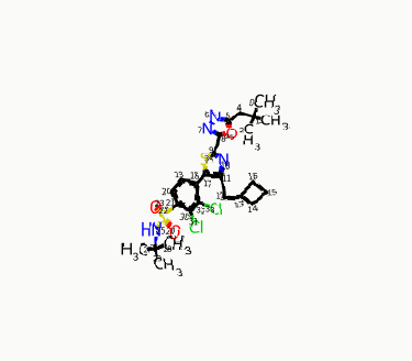 CC(C)(C)Cc1nnc(-c2nc(CC3CCC3)c(-c3ccc(S(=O)(=O)NC(C)(C)C)c(Cl)c3Cl)s2)o1